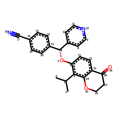 CC(C)c1c(O[C@@H](c2ccncc2)c2ccc(C#N)cc2)ccc2c1OCCC2=O